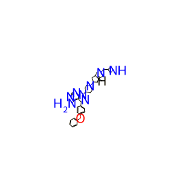 Nc1ncnc2c1c(-c1ccc(Oc3ccccc3)cc1)nn2C1CCN(C2CC3CN(CC4CNC4)C[C@@H]3C2)CC1